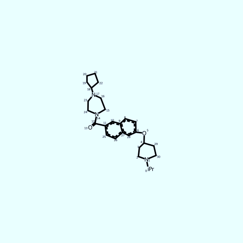 CC(C)N1CCC(Oc2ccc3cc(C(=O)N4CCN(C5CCCC5)CC4)ccc3c2)CC1